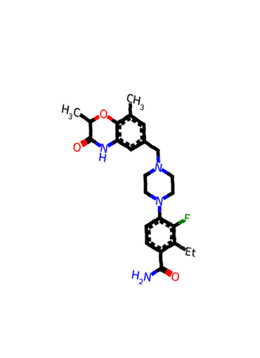 CCc1c(C(N)=O)ccc(N2CCN(Cc3cc(C)c4c(c3)NC(=O)C(C)O4)CC2)c1F